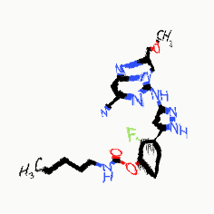 CCCCCNC(=O)O[C@@H]1CC[C@H](c2cc(Nc3nc(C#N)cc4nc(COC)cn34)n[nH]2)[C@H]1F